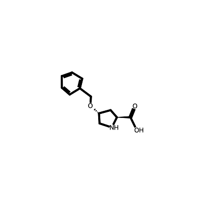 O=C(O)[C@@H]1C[C@@H](OCc2ccccc2)CN1